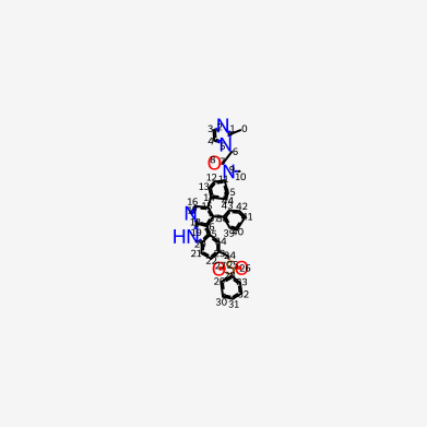 Cc1nccn1CC(=O)N(C)c1ccc(-c2cnc3[nH]c4ccc(CS(=O)(=O)c5ccccc5)cc4c3c2-c2ccccc2)cc1